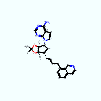 CC1(C)O[C@@H]2[C@@H](CCCCc3cccc4ccncc34)C[C@@H](n3ccc4c(N)ncnc43)[C@@H]2O1